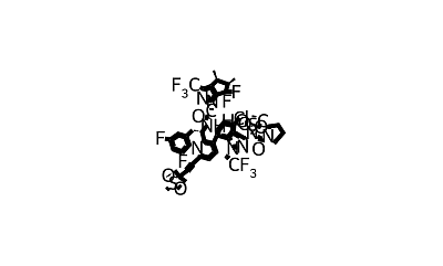 C[C@@H]1c2c(C(F)(F)F)nn(CC(=O)N[C@@H](Cc3cc(F)cc(F)c3)c3nc(C#CC(C)(C)S(C)(=O)=O)ccc3-c3ccc(Cl)c4c(N(C(=O)N5CCC[C@H]5C(=O)O)S(C)(=O)=O)nn(CC(F)(F)F)c34)c2C(F)(F)[C@@H]1C